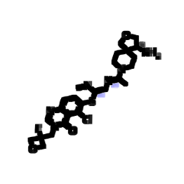 C=N/C(=C\N=C(/C)N1CCC2(CC1)COC[C@H]2N)Sc1ccc2ncn(CC3(F)COC3)c(=O)c2c1Cl